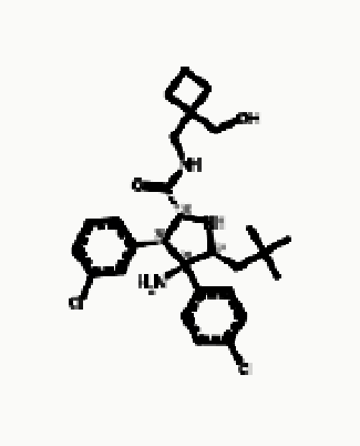 CC(C)(C)C[C@@H]1N[C@@H](C(=O)NCC2(CO)CCC2)[C@H](c2cccc(Cl)c2)[C@@]1(N)c1ccc(Cl)cc1